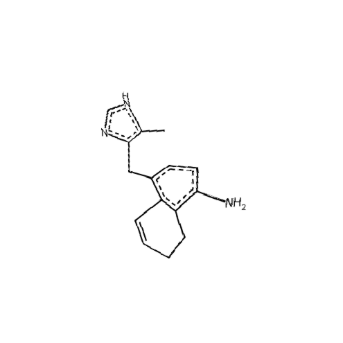 Cc1[nH]cnc1Cc1ccc(N)c2c1C=CCC2